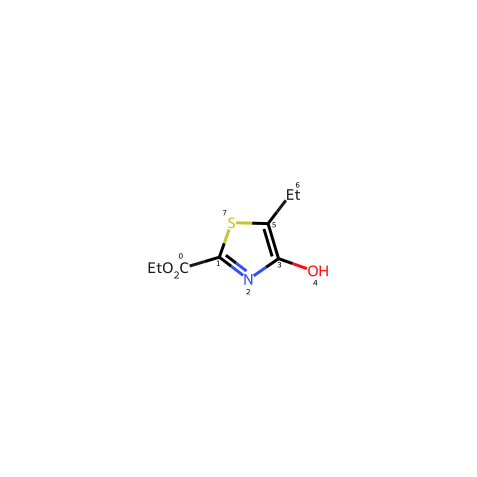 CCOC(=O)c1nc(O)c(CC)s1